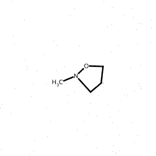 CN1C[CH]CO1